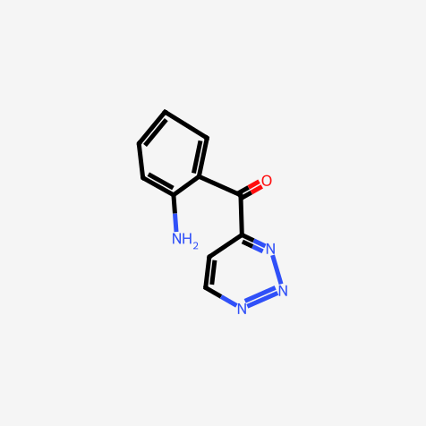 Nc1ccccc1C(=O)c1ccnnn1